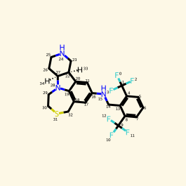 FC(F)(F)c1cccc(C(F)(F)F)c1CNc1cc2c3c(c1)[C@@H]1CNCC[C@@H]1N3CCSC2